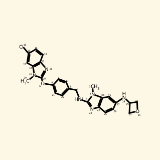 Cn1c(NCc2ccc(Oc3nc4ccc(Cl)cc4n3C)cc2)nc2ccc(NC3COC3)cc21